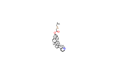 CC(=O)CSCC(=O)O[C@H]1CC[C@@]2(C)C(=CC[C@@H]3[C@@H]2CC[C@]2(C)C(c4cccnc4)=CC[C@@H]32)C1